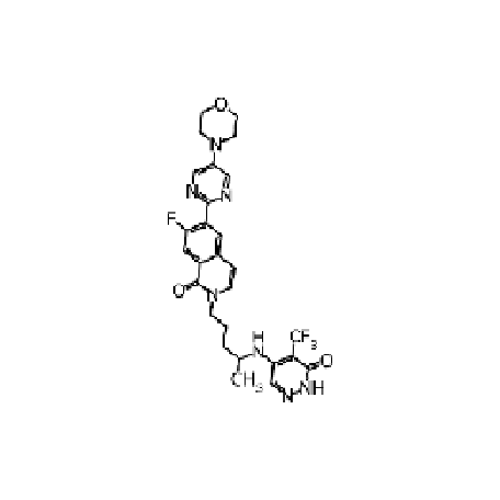 C[C@@H](CCCn1ccc2cc(-c3ncc(N4CCOCC4)cn3)c(F)cc2c1=O)Nc1cn[nH]c(=O)c1C(F)(F)F